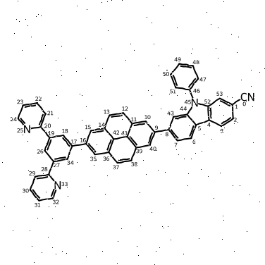 N#Cc1ccc2c3ccc(-c4cc5ccc6cc(-c7cc(-c8ccccn8)cc(-c8ccccn8)c7)cc7ccc(c4)c5c67)cc3n(-c3ccccc3)c2c1